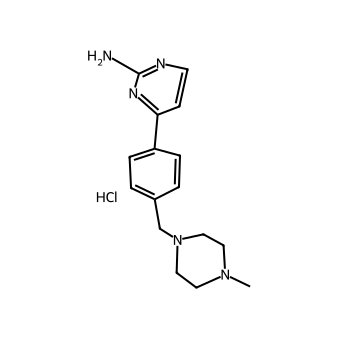 CN1CCN(Cc2ccc(-c3ccnc(N)n3)cc2)CC1.Cl